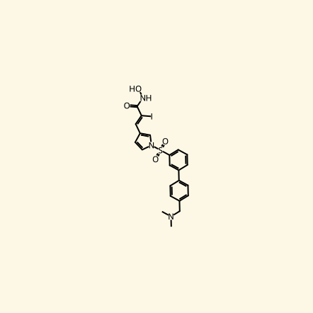 CN(C)Cc1ccc(-c2cccc(S(=O)(=O)n3ccc(C=C(I)C(=O)NO)c3)c2)cc1